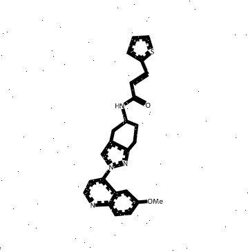 COc1ccc2nccc(-n3cc4c(n3)CCC(NC(=O)/C=C/c3cccs3)C4)c2c1